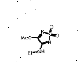 CCNC1=NS(=O)(=O)N=C1OC